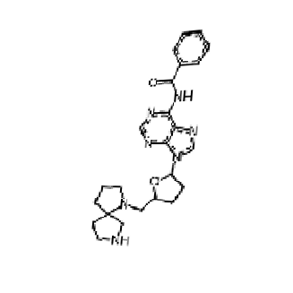 O=C(Nc1ncnc2c1ncn2C1CCC(CN2CCCC23CCNC3)O1)c1ccccc1